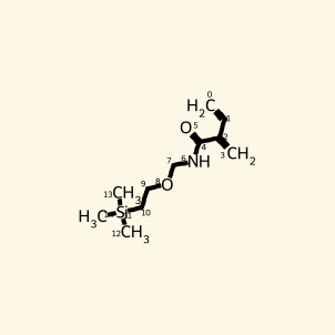 C=CC(=C)C(=O)NCOCC[Si](C)(C)C